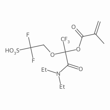 C=C(C)C(=O)OC(OCC(F)(F)S(=O)(=O)O)(C(=O)N(CC)CC)C(F)(F)F